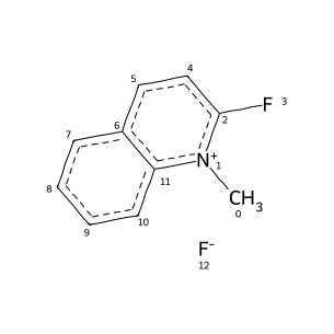 C[n+]1c(F)ccc2ccccc21.[F-]